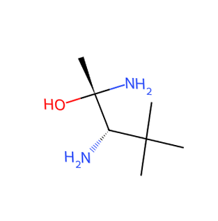 CC(C)(C)[C@H](N)[C@@](C)(N)O